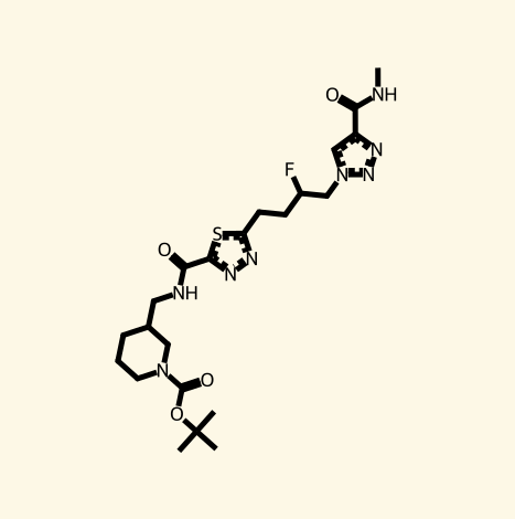 CNC(=O)c1cn(CC(F)CCc2nnc(C(=O)NCC3CCCN(C(=O)OC(C)(C)C)C3)s2)nn1